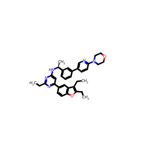 CCc1nc(N[C@@H](C)c2cccc(-c3ccc(N4CCOCC4)nc3)c2)cc(-c2ccc3oc(CC)c(CC)c3c2)n1